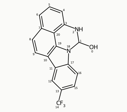 OC1Nc2cccc3ccc4c5cc(C(F)(F)F)ccc5n1c4c23